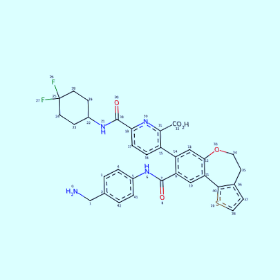 NCc1ccc(NC(=O)c2cc3c(cc2-c2ccc(C(=O)NC4CCC(F)(F)CC4)nc2C(=O)O)OCCc2ccsc2-3)cc1